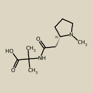 CN1CCC[C@H]1CC(=O)NC(C)(C)C(=O)O